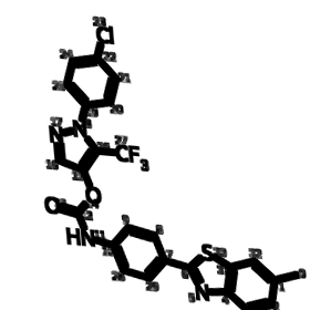 Cc1ccc2nc(-c3ccc(NC(=O)Oc4cnn(-c5ccc(Cl)cc5)c4C(F)(F)F)cc3)sc2c1